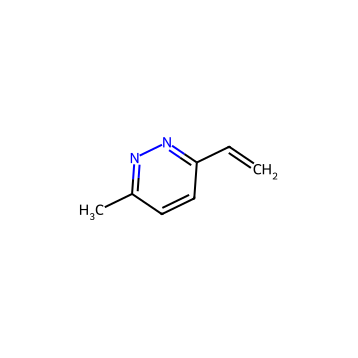 C=Cc1ccc(C)nn1